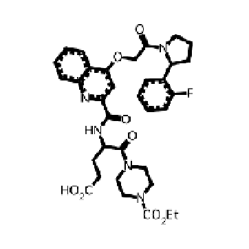 CCOC(=O)N1CCN(C(=O)C(CCC(=O)O)NC(=O)c2cc(OCC(=O)N3CCCC3c3ccccc3F)c3ccccc3n2)CC1